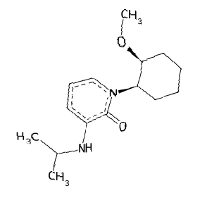 CO[C@H]1CCCC[C@H]1n1cccc(NC(C)C)c1=O